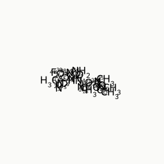 Cc1cnc2ccc(-c3nc(C(=O)NCc4ncccc4OCCN(C)C(=O)OC(C)(C)C)c(N)nc3-c3ccc(F)cc3)cn12